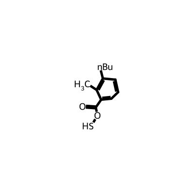 CCCCc1cccc(C(=O)OS)c1C